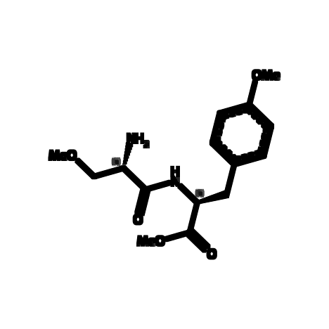 COC[C@H](N)C(=O)N[C@@H](Cc1ccc(OC)cc1)C(=O)OC